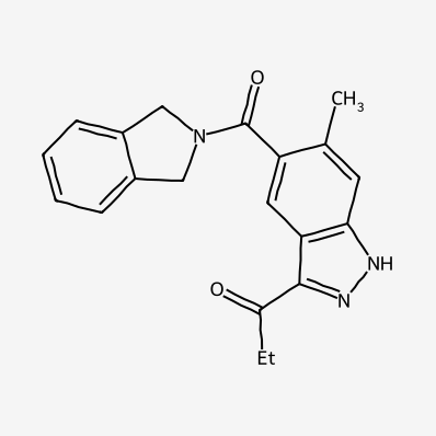 CCC(=O)c1n[nH]c2cc(C)c(C(=O)N3Cc4ccccc4C3)cc12